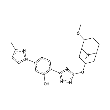 COC1CCC2CC(Oc3nnc(-c4ccc(-n5ccc(C)n5)cc4O)s3)CC1N2C